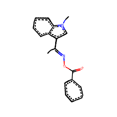 C/C(=N\OC(=O)c1ccccc1)c1cn(C)c2ccccc12